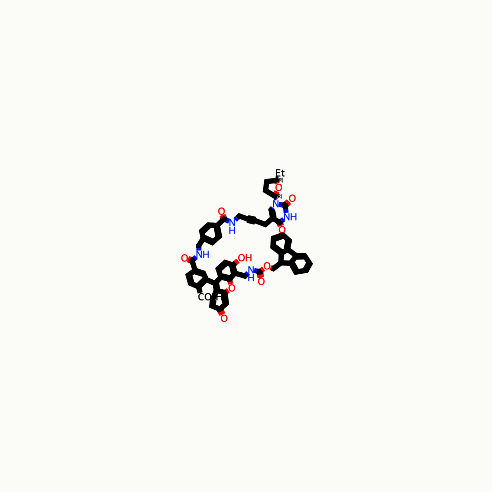 CC[C@@H]1CC[C@H](n2cc(CC#CCNC(=O)c3ccc(CNC(=O)c4ccc(C(=O)O)c(-c5c6ccc(=O)cc-6oc6c(CNC(=O)OCC7c8ccccc8-c8ccccc87)c(O)ccc56)c4)cc3)c(=O)[nH]c2=O)O1